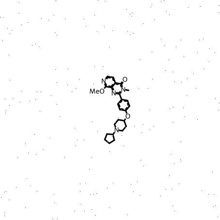 COc1nccc2c(=O)n(C)c(-c3ccc(OC4CCN(C5CCCC5)CC4)cc3)nc12